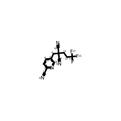 N#Cc1ccc(CC(C#N)(C#N)CCC(F)(F)F)cn1